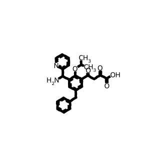 CC(C)Oc1c(C(=O)CC(=O)C(=O)O)cc(Cc2ccccc2)cc1C(N)c1ccccn1